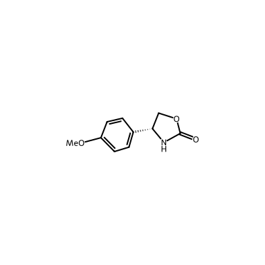 COc1ccc([C@@H]2COC(=O)N2)cc1